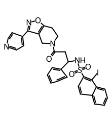 O=C(CC(NS(=O)(=O)c1ccc2ccccc2c1I)c1ccccc1)N1CCc2onc(-c3ccncc3)c2C1